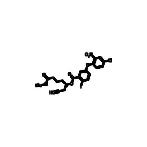 C#CCN(CCCC(=O)OC(C)(C)C)OC(=O)c1cc(Oc2ccc(Cl)cc2[N+](=O)[O-])ccc1I